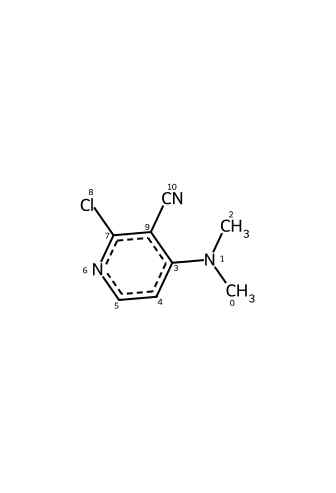 CN(C)c1ccnc(Cl)c1C#N